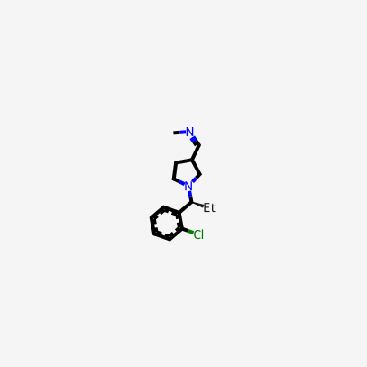 CC[C@@H](c1ccccc1Cl)N1CCC(/C=N\C)C1